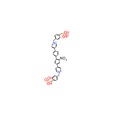 O=[N+]([O-])c1cc(-c2cc[n+](Cc3ccc(CP(=O)(O)O)cc3)cc2)ccc1-c1ccc(-c2cc[n+](Cc3ccc(CP(=O)(O)O)cc3)cc2)cc1